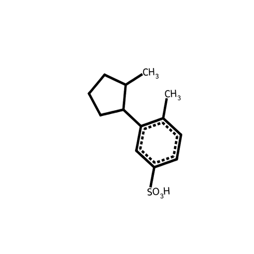 Cc1ccc(S(=O)(=O)O)cc1C1CCCC1C